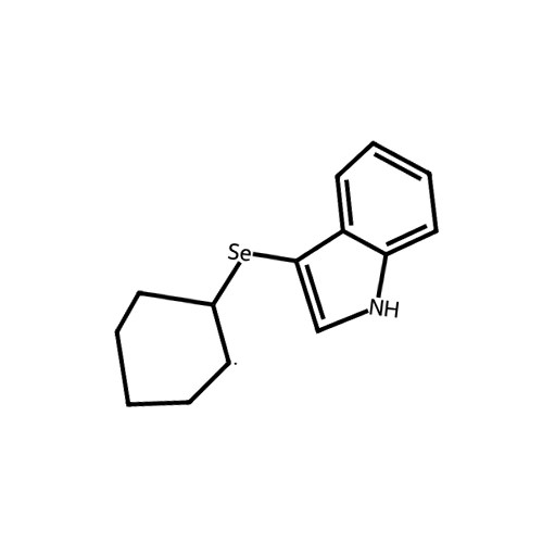 [CH]1CCCCC1[Se]c1c[nH]c2ccccc12